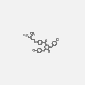 CCN(CC)CCOc1ccc(C(=O)N2CC(=Cc3ccc(Cl)cc3)C(=O)C(=Cc3ccc(Cl)cc3)C2)cc1